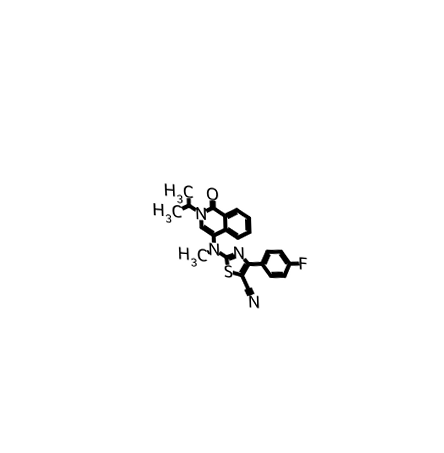 CC(C)n1cc(N(C)c2nc(-c3ccc(F)cc3)c(C#N)s2)c2ccccc2c1=O